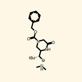 C[SiH](C)O[C@@H](C1CN(C(=O)OCc2ccccc2)CC(=O)N1)C(C)(C)C